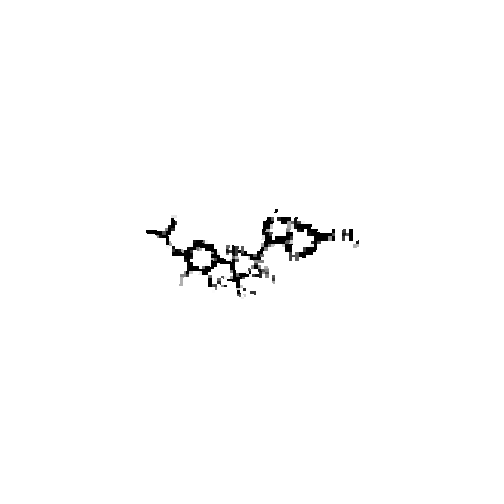 Cc1cnc2c(C(=O)NC(c3ccc(OC(F)F)c(F)c3)C(C)(C)O)cnn2c1